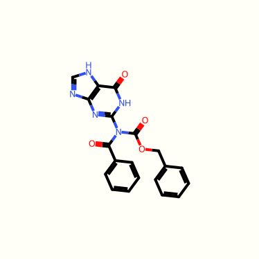 O=C(OCc1ccccc1)N(C(=O)c1ccccc1)c1nc2nc[nH]c2c(=O)[nH]1